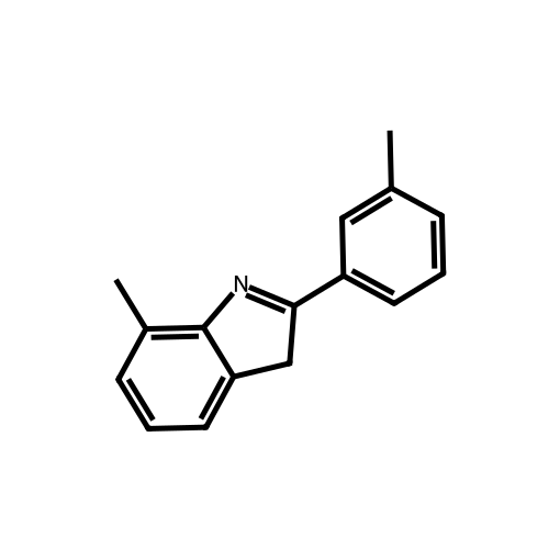 Cc1cccc(C2=Nc3c(C)cccc3C2)c1